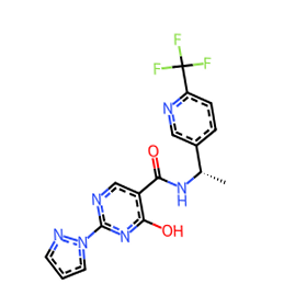 C[C@H](NC(=O)c1cnc(-n2cccn2)nc1O)c1ccc(C(F)(F)F)nc1